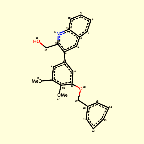 COc1cc(-c2cc3ccccc3nc2CO)cc(OCc2ccccc2)c1OC